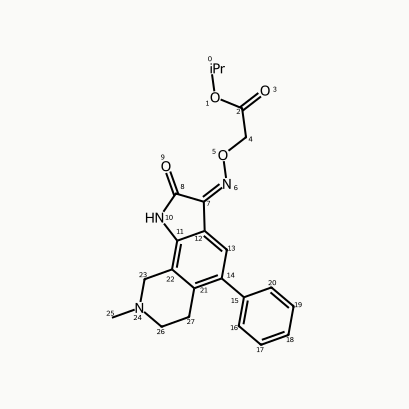 CC(C)OC(=O)CON=C1C(=O)Nc2c1cc(-c1ccccc1)c1c2CN(C)CC1